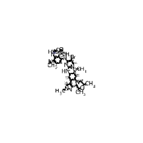 C=Nc1ccc(Nc2nc(Nc3cc(-c4cnn(C)c4)c(N4CC(C)OC(C)C4)cc3OC)ncc2Br)c(P(C)(C)=O)c1/N=C\C